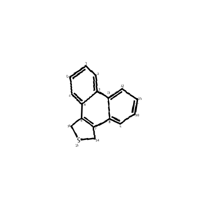 c1ccc2c(c1)c1c(c3ccccc32)CSC1